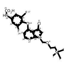 C[Si](C)(C)CCOCn1cc(Cl)c2c(Oc3c(F)cc(NC(=O)O)cc3F)ccnc21